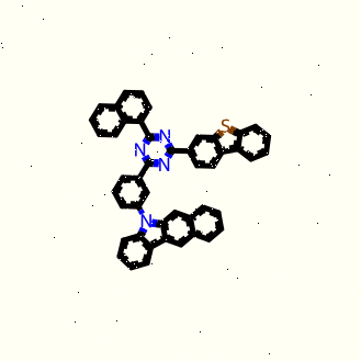 c1cc(-c2nc(-c3ccc4c(c3)sc3ccccc34)nc(-c3cccc4ccccc34)n2)cc(-n2c3ccccc3c3cc4ccccc4cc32)c1